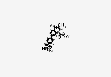 CC(=O)N1c2ccc(-c3ccc(S(=O)(=O)NC(C)(C)C)cc3)cc2N(C(=O)OC(C)C)C[C@@H]1C